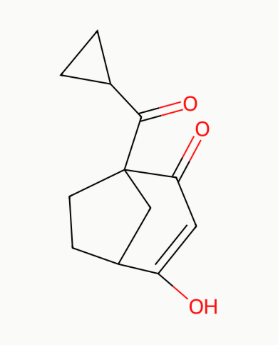 O=C1C=C(O)C2CCC1(C(=O)C1CC1)C2